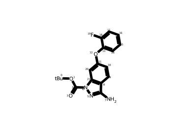 CC(C)(C)OC(=O)n1nc(N)c2ccc(Oc3ccccc3F)cc21